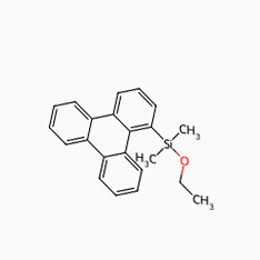 CCO[Si](C)(C)c1cccc2c3ccccc3c3ccccc3c12